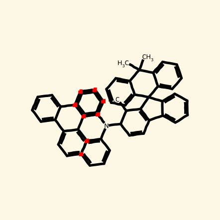 CC1C2=C(C=CC1N(c1ccccc1)c1ccccc1-c1ccccc1-c1ccccc1-c1ccccc1)c1ccccc1C21c2ccccc2C(C)(C)c2ccccc21